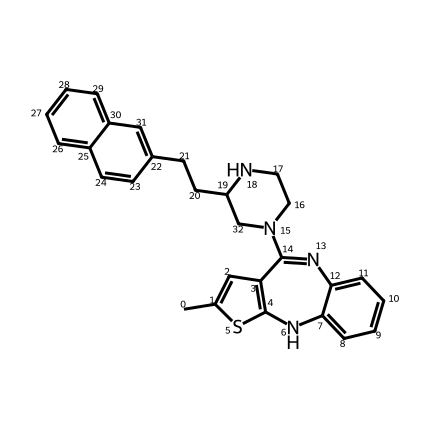 Cc1cc2c(s1)Nc1ccccc1N=C2N1CCNC(CCc2ccc3ccccc3c2)C1